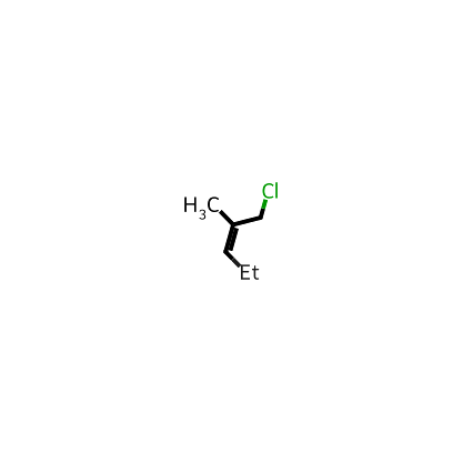 [CH2]CC=C(C)CCl